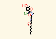 CCCCCCC[C@@H](C/C=C/CCC(=O)N(C)C/C(=C/Cl)C1=CCC(O)C(C)C1=O)OC